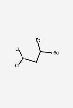 CCCCC(CC)CP(Cl)Cl